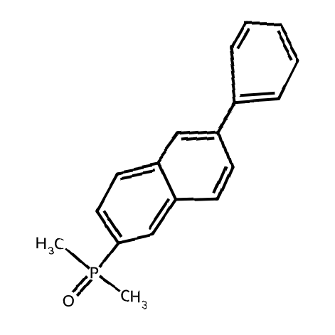 CP(C)(=O)c1ccc2cc(-c3ccccc3)ccc2c1